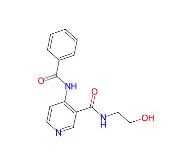 O=C(Nc1ccncc1C(=O)NCCO)c1ccccc1